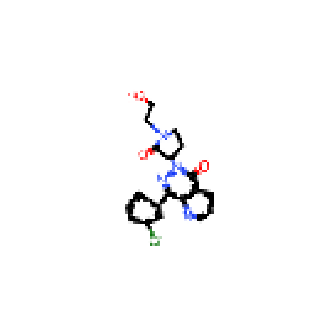 O=C1C(n2nc(-c3cccc(Cl)c3)c3ncccc3c2=O)CCN1CCO